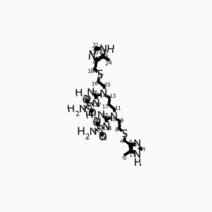 Cc1[nH]cnc1CSCCN(CCCN(CCSCc1nc[nH]c1C)C(N)=NS(N)(=O)=O)C(N)=NS(N)(=O)=O